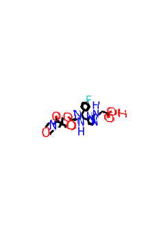 CC1(C(=O)N2CCOCC2)COC(c2nc(-c3ccc(F)cc3)c(-c3ccnc(NCCC(=O)O)n3)[nH]2)OC1